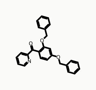 O=C(c1ccccn1)c1ccc(OCc2ccccc2)cc1OCc1ccccc1